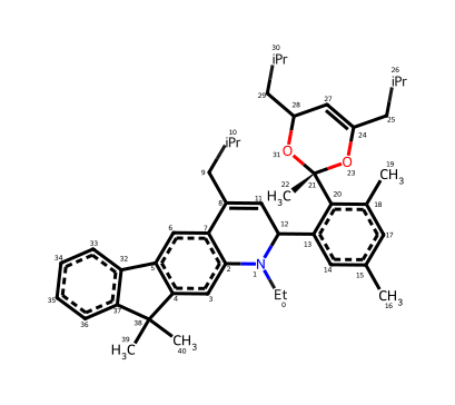 CCN1c2cc3c(cc2C(CC(C)C)=CC1c1cc(C)cc(C)c1[C@@]1(C)OC(CC(C)C)=CC(CC(C)C)O1)-c1ccccc1C3(C)C